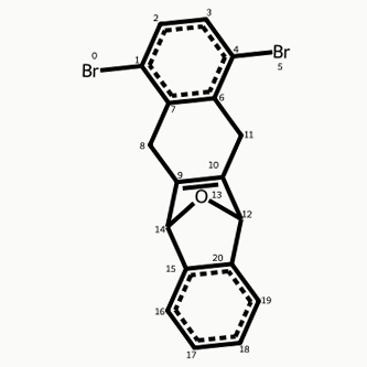 Brc1ccc(Br)c2c1CC1=C(C2)C2OC1c1ccccc12